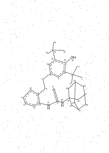 CC(C)(C)c1cc(CCc2ccccc2NC(=O)NC23CC4CC(CC(C4)C2)C3)cc(C(C)(C)C)c1O